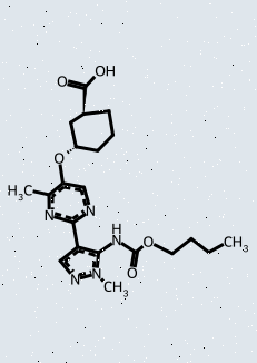 CCCCOC(=O)Nc1c(-c2ncc(O[C@H]3CCC[C@H](C(=O)O)C3)c(C)n2)cnn1C